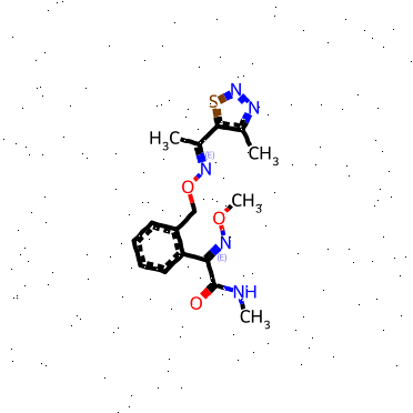 CNC(=O)/C(=N/OC)c1ccccc1CO/N=C(\C)c1snnc1C